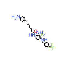 Nc1ccc(CCCCCCC(=O)Nc2ccc(NCc3ccc(C(F)(F)F)cc3)c(F)c2N)cc1